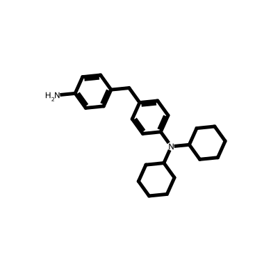 Nc1ccc(Cc2ccc(N(C3CCCCC3)C3CCCCC3)cc2)cc1